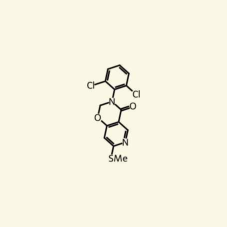 CSc1cc2c(cn1)C(=O)N(c1c(Cl)cccc1Cl)CO2